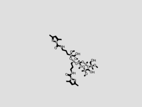 CO[Si](C)(CO)O[Si](C)(O[Si](C)(CO)OC)O[Si](C)(OC)O[Si](CCCNC(=O)n1nc(C)cc1C)(OC)O[Si](CO)(CCCNC(=O)n1nc(C)cc1C)OC